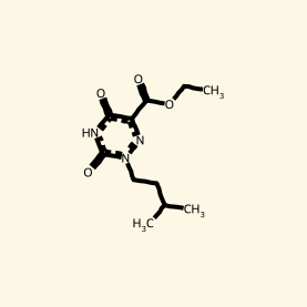 CCOC(=O)c1nn(CCC(C)C)c(=O)[nH]c1=O